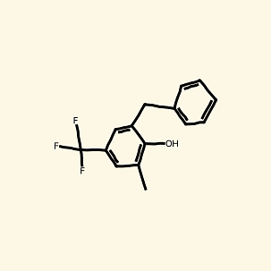 Cc1cc(C(F)(F)F)cc(Cc2ccccc2)c1O